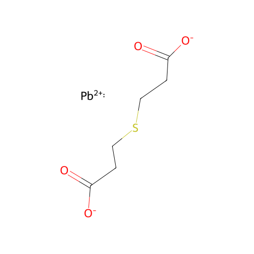 O=C([O-])CCSCCC(=O)[O-].[Pb+2]